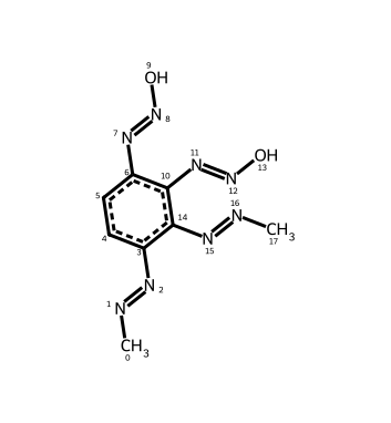 CN=Nc1ccc(N=NO)c(N=NO)c1N=NC